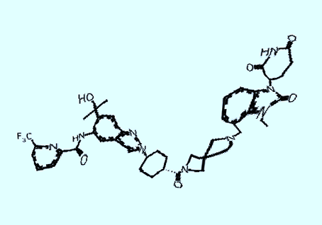 Cn1c(=O)n(C2CCC(=O)NC2=O)c2cccc(CN3CC4(C3)CN(C(=O)[C@H]3CC[C@H](n5cc6cc(NC(=O)c7cccc(C(F)(F)F)n7)c(C(C)(C)O)cc6n5)CC3)C4)c21